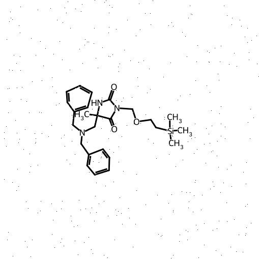 CC1(CN(Cc2ccccc2)Cc2ccccc2)NC(=O)N(COCC[Si](C)(C)C)C1=O